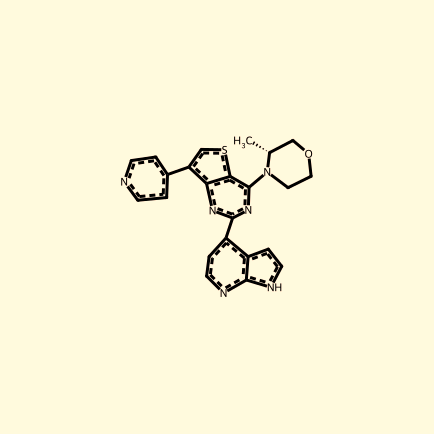 C[C@@H]1COCCN1c1nc(-c2ccnc3[nH]ccc23)nc2c(-c3ccncc3)csc12